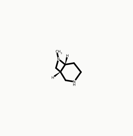 CN1C[C@H]2CNCC[C@H]21